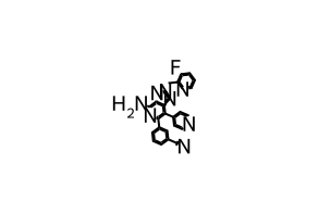 N#Cc1cccc(-c2nc(N)c3nn(Cc4ncccc4F)nc3c2-c2ccncc2)c1